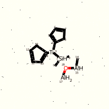 C[SiH](C)[Ti]([C]1=CC=CC1)[C]1=CC=CC1.[CH3][AlH][O][AlH2]